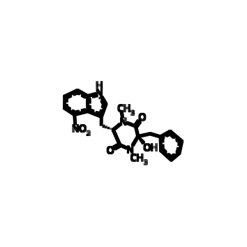 CN1C(=O)[C@](O)(Cc2ccccc2)N(C)C(=O)[C@@H]1Cc1c[nH]c2cccc([N+](=O)[O-])c12